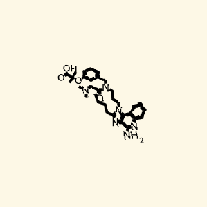 CCCCc1nc2c(N)nc3ccccc3c2n1CCCN(Cc1cccc(OC(C)(C)C(=O)O)c1)C(=O)CN(C)C